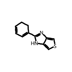 C1=CCCC(c2nc3cscc3[nH]2)=C1